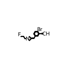 C#Cc1cc(C=C2CN(CCCF)C2)ccc1Br